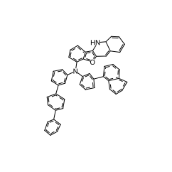 C1=CC2=Cc3oc4c(N(c5cccc(-c6ccc(-c7ccccc7)cc6)c5)c5cccc(-c6cccc7ccccc67)c5)cccc4c3NC2C=C1